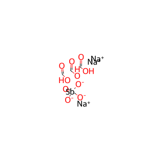 O=CO.O=CO.O=CO.[Na+].[Na+].[Na+].[O]=[Sb]([O-])([O-])[O-]